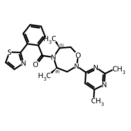 Cc1cc(N2C[C@@H](C)N(C(=O)c3ccccc3-c3nccs3)[C@@H](C)CO2)nc(C)n1